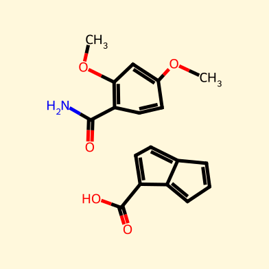 COc1ccc(C(N)=O)c(OC)c1.O=C(O)C1=CC=C2C=CC=C21